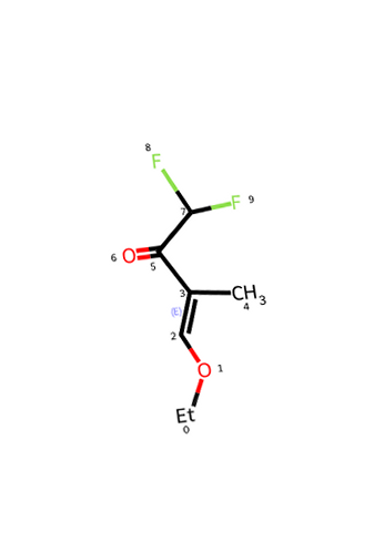 CCO/C=C(\C)C(=O)C(F)F